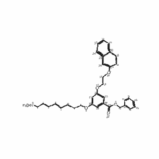 CCCCCCCCCCCCCCCCCCOc1cc(OCCOc2ccc3ccccc3c2)cc(C(=O)OCc2ccccc2)c1